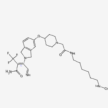 CNCCCCCCNC(=O)CN1CCC(Oc2ccc3c(c2)CN(/C(C=N)=C(/C(N)=O)C(F)(F)F)C3)CC1